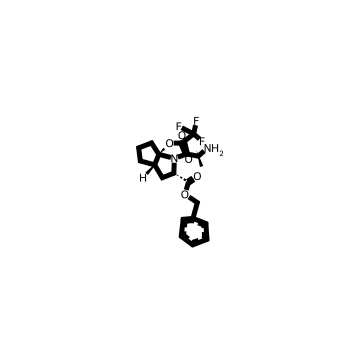 C[C@H](N)C(=O)N1[C@H](C(=O)OCc2ccccc2)C[C@@H]2CCC[C@]21OC(=O)C(F)(F)F